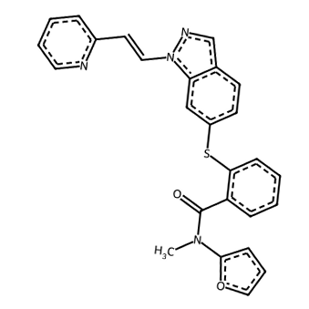 CN(C(=O)c1ccccc1Sc1ccc2cnn(C=Cc3ccccn3)c2c1)c1ccco1